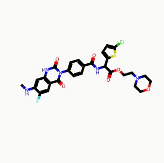 CNc1cc2[nH]c(=O)n(-c3ccc(C(=O)NC(C(=O)OCCN4CCOCC4)c4ccc(Cl)s4)cc3)c(=O)c2cc1F